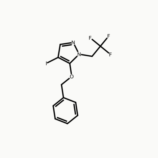 FC(F)(F)Cn1ncc(I)c1OCc1ccccc1